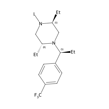 CC[C@H]1CN([C@@H](CC)c2ccc(C(F)(F)F)cc2)[C@H](CC)CN1I